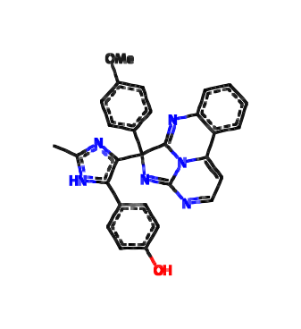 COc1ccc(C2(c3nc(C)[nH]c3-c3ccc(O)cc3)N=C3N=CC=C4c5ccccc5N=C2N43)cc1